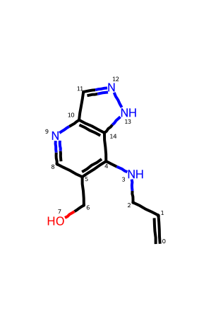 C=CCNc1c(CO)cnc2cn[nH]c12